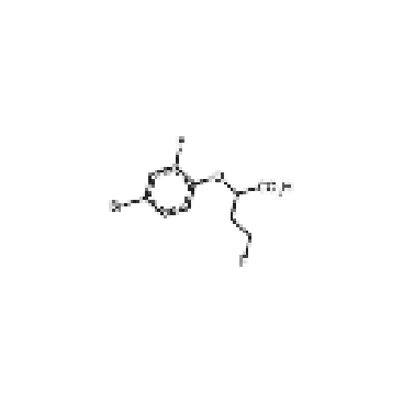 O=C(O)C(CCF)Oc1ccc(Br)cc1F